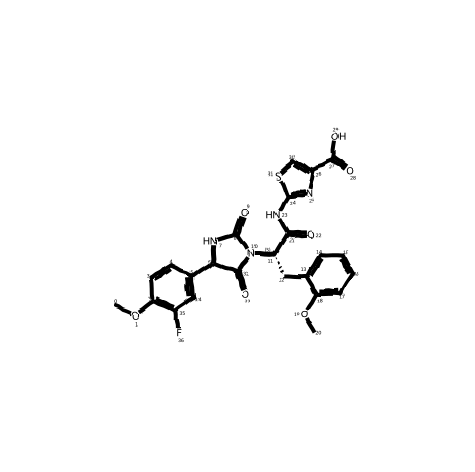 COc1ccc(C2NC(=O)N([C@@H](Cc3ccccc3OC)C(=O)Nc3nc(C(=O)O)cs3)C2=O)cc1F